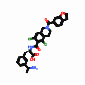 CC(N)c1cccc(C[C@H](NC(=O)c2c(Cl)cc3c(c2Cl)CCN(C(=O)c2ccc4ccoc4c2)C3)C(=O)O)c1